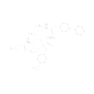 COC(=O)[C@]1(Sc2ccc(C)cc2)C[C@H](OC(C)=O)[C@@H](NC(=O)COC(C)=O)[C@H]([C@@H](F)[C@@H](CNC(=O)Cc2ccc(-c3ccccc3)cc2)OC(C)=O)O1